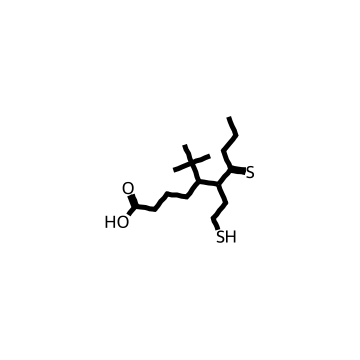 CCCC(=S)C(CCS)C(CCCC(=O)O)C(C)(C)C